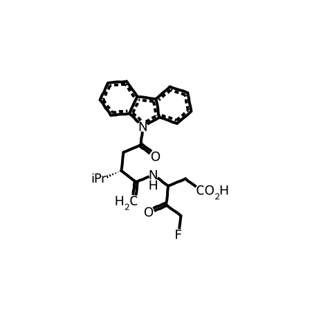 C=C(NC(CC(=O)O)C(=O)CF)[C@@H](CC(=O)n1c2ccccc2c2ccccc21)C(C)C